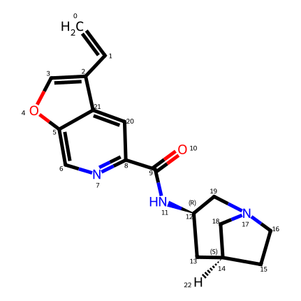 C=Cc1coc2cnc(C(=O)N[C@@H]3C[C@@H]4CCN(C4)C3)cc12